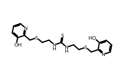 Oc1cccnc1CSCCNC(=S)NCCSCc1ncccc1O